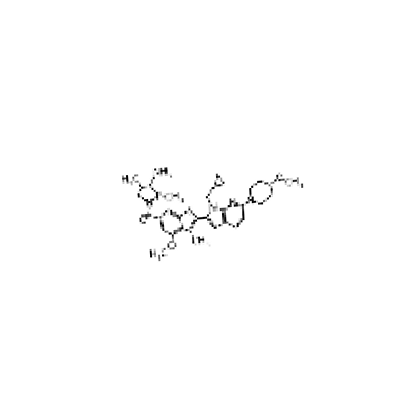 COc1cc(C(=O)N2CC(C)C(N)P2C)cc2sc(-c3cc4ccc(N5CCC(OC)CC5)nc4n3CC3CC3)c(C)c12